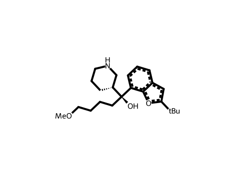 COCCCC[C@@](O)(c1cccc2cc(C(C)(C)C)oc12)[C@@H]1CCCNC1